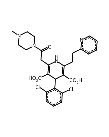 CN1CCN(C(=O)CC2=C(C(=O)O)C(c3c(Cl)cccc3Cl)C(C(=O)O)=C(CCc3ccccn3)N2)CC1